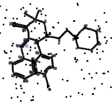 CC1(C)CN(CCN2CCCCC2)C(c2ccc(F)cc2)/C(=C\c2ccccn2)C1=O